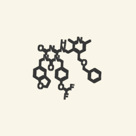 Cc1cc(COCc2ccccc2)c(CNc2nc(=O)n(Cc3ccc4c(c3)CCO4)c(=O)n2Cc2ccc(OC(F)F)cc2)c(C)n1